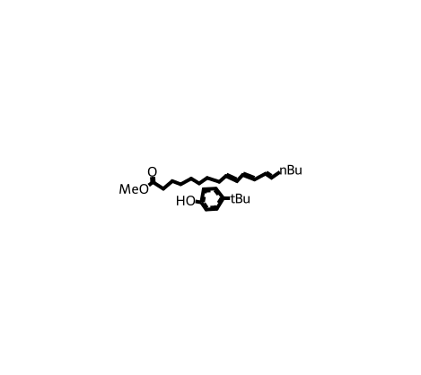 CC(C)(C)c1ccc(O)cc1.CCCCC=CC=CC=CCCCCCCCC(=O)OC